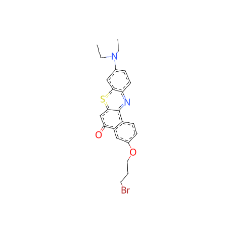 CCN(CC)c1ccc2nc3c4ccc(OCCCBr)cc4c(=O)cc-3sc2c1